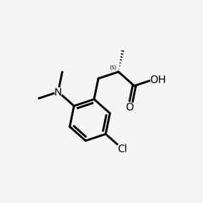 C[C@@H](Cc1cc(Cl)ccc1N(C)C)C(=O)O